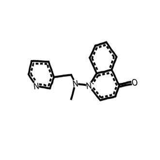 CN(Cc1cccnc1)n1ccc(=O)c2ccccc21